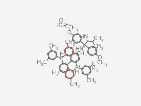 COc1ccc(C([NH-])(c2ccc(OC)cc2)[C@H]([NH-])C(C)C)cc1.Cc1cc(C)cc([PH+](c2cc(C)cc(C)c2)c2ccc3ccccc3c2-c2c([PH+](c3cc(C)cc(C)c3)c3cc(C)cc(C)c3)ccc3ccccc23)c1.[Cl][Ru+2][Cl]